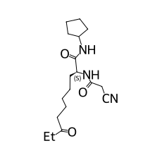 CCC(=O)CCCCC[C@H](NC(=O)CC#N)C(=O)NC1CCCC1